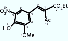 CCOC(=O)C(=Cc1cc(OC)c(O)c([N+](=O)[O-])c1)C(C)=O